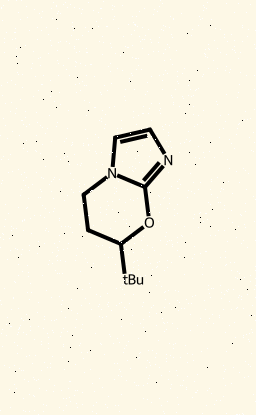 CC(C)(C)C1CCn2ccnc2O1